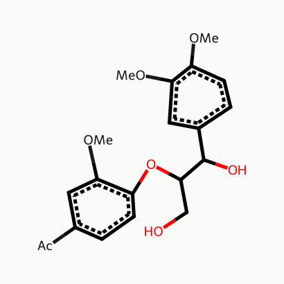 COc1ccc(C(O)C(CO)Oc2ccc(C(C)=O)cc2OC)cc1OC